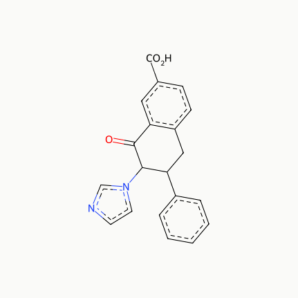 O=C(O)c1ccc2c(c1)C(=O)C(n1ccnc1)C(c1ccccc1)C2